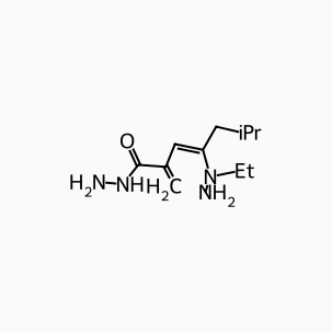 C=C(/C=C(/CC(C)C)N(N)CC)C(=O)NN